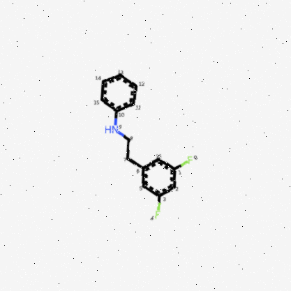 Fc1cc(F)cc(CCNc2cc[c]cc2)c1